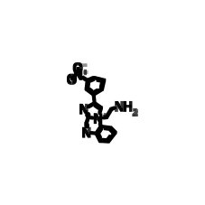 NCC[N+]12C=C(c3cccc([N+](=O)[O-])c3)N=C1C=Nc1ccccc12